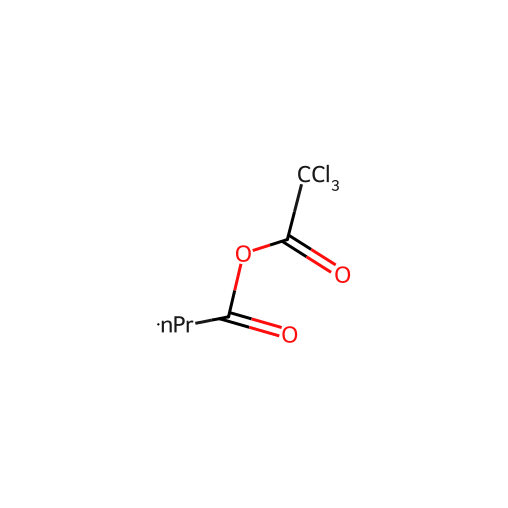 CC[CH]C(=O)OC(=O)C(Cl)(Cl)Cl